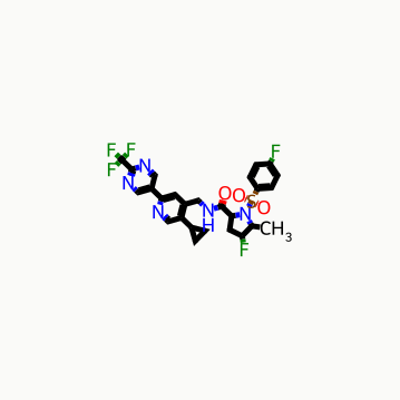 CC1C(F)CC(C(=O)NCc2cc(-c3cnc(C(F)(F)F)nc3)ncc2C2CC2)N1S(=O)(=O)c1ccc(F)cc1